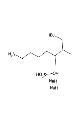 CCC(C)CC(C)C(C)CCCCN.O=S(=O)(O)O.[NaH].[NaH]